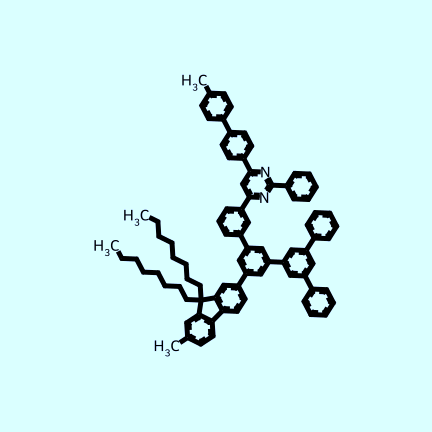 CCCCCCCCC1(CCCCCCCC)c2cc(C)ccc2-c2ccc(-c3cc(-c4cc(-c5ccccc5)cc(-c5ccccc5)c4)cc(-c4cccc(-c5cc(-c6ccc(-c7ccc(C)cc7)cc6)nc(-c6ccccc6)n5)c4)c3)cc21